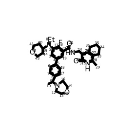 CCN(c1cc(-c2ccc(C(C)N3CCOCC3)cc2)cc(C(=O)NCc2c3c(c(C)[nH]c2=O)CCCC3)c1F)C1CCOCC1